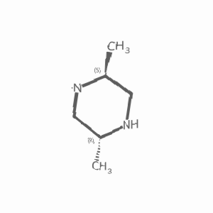 C[C@@H]1C[N][C@@H](C)CN1